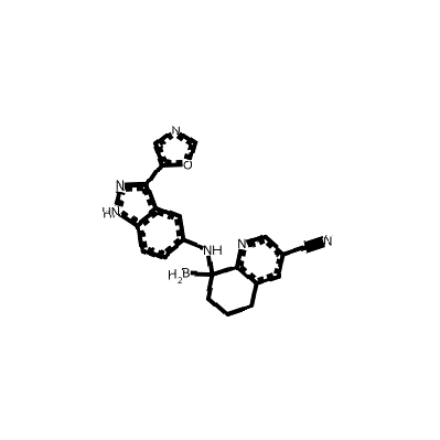 BC1(Nc2ccc3[nH]nc(-c4cnco4)c3c2)CCCc2cc(C#N)cnc21